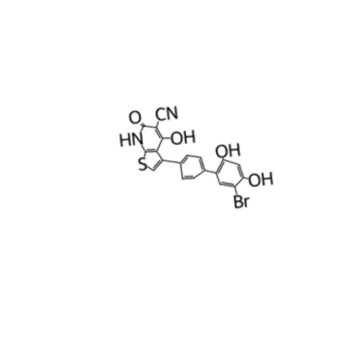 N#Cc1c(O)c2c(-c3ccc(-c4cc(Br)c(O)cc4O)cc3)csc2[nH]c1=O